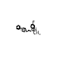 Cc1nc2cc(F)ccc2n1CCCN1CCN(c2ccccc2)CC1